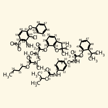 CC(C)OC(=O)Nc1ccccc1.CCCCOC(=O)N(C)SN(C)C(=O)Oc1cccc2c1OC(C)(C)C2.CNC(=O)Oc1ccccc1C(C)C.Nc1c([N+](=O)[O-])ccc(Oc2ccccc2)c1Cl